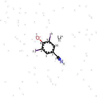 N#Cc1cc(I)c([O-])c(I)c1.[Li+]